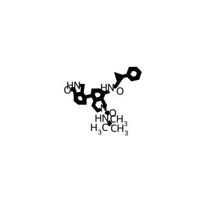 CC(C)(C)NC(=O)N1CCc2c(-c3cccc4c3CNC4=O)ccc(CNC(=O)C3CC3c3ccccc3)c2C1